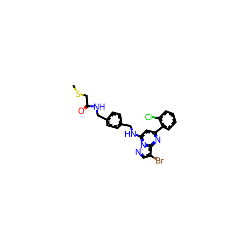 CSCC(=O)NCc1ccc(CNc2cc(-c3ccccc3Cl)nc3c(Br)cnn23)cc1